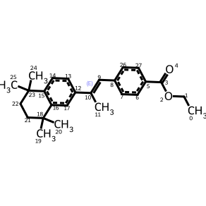 CCOC(=O)c1ccc(/C=C(\C)c2ccc3c(c2)C(C)(C)CCC3(C)C)cc1